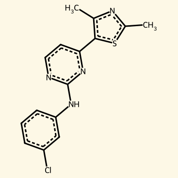 Cc1nc(C)c(-c2ccnc(Nc3cccc(Cl)c3)n2)s1